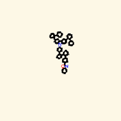 c1ccc(-c2ccccc2-c2ccc3c(c2)c2cc(-c4ccccc4-c4ccccc4)ccc2n3-c2ccc(-c3ccccc3-c3ccccc3-c3ccc(-c4nc5ccccc5o4)cc3)cc2)cc1